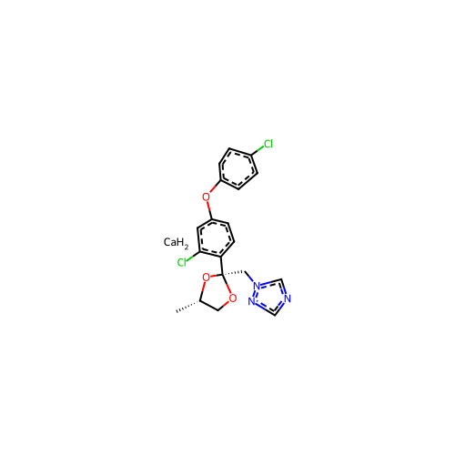 C[C@H]1CO[C@](Cn2cncn2)(c2ccc(Oc3ccc(Cl)cc3)cc2Cl)O1.[CaH2]